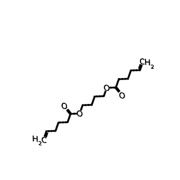 C=CCCCC(=O)OCCCCOC(=O)CCCC=C